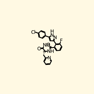 NC(=O)[C@@H](Cc1ccccn1)NC(=O)c1cccc(F)c1-c1cc(-c2ccc(Cl)cc2)[nH]n1